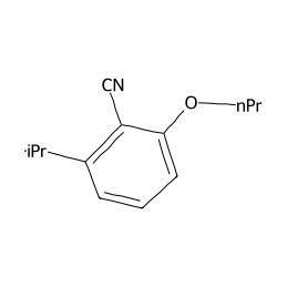 CCCOc1cccc([C](C)C)c1C#N